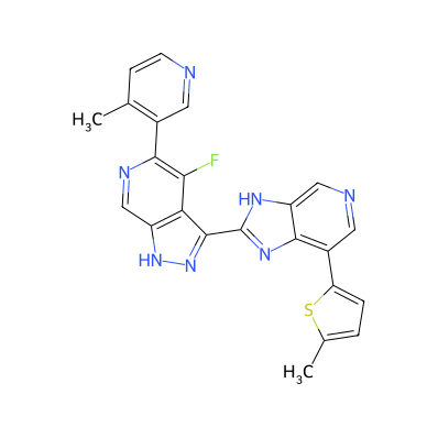 Cc1ccc(-c2cncc3[nH]c(-c4n[nH]c5cnc(-c6cnccc6C)c(F)c45)nc23)s1